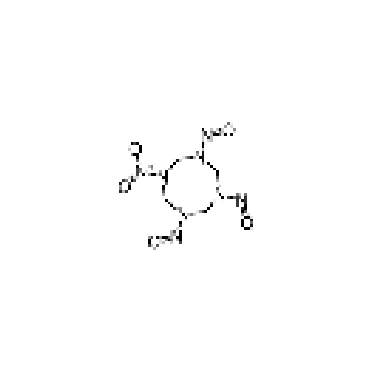 O=NN1CN(N=O)CN([N+](=O)[O-])CN(N=O)C1